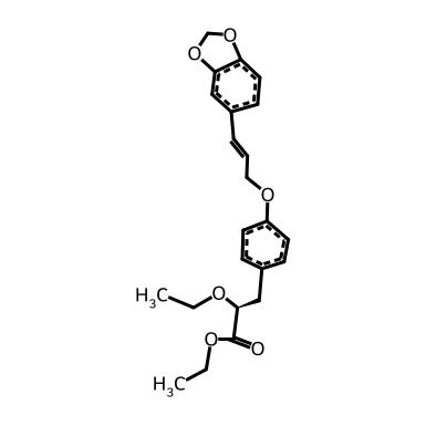 CCOC(=O)[C@H](Cc1ccc(OC/C=C/c2ccc3c(c2)OCO3)cc1)OCC